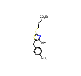 CCCc1nc(SCCCC(=O)OCC)sc1Cc1ccc([N+](=O)[O-])cc1